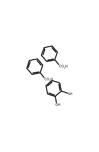 O=C(O)c1ccccc1.O=C(O)c1ccccc1.Oc1ccccc1S